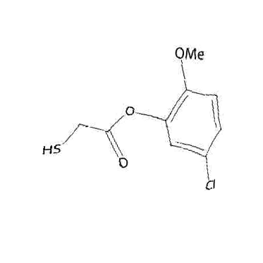 COc1ccc(Cl)cc1OC(=O)CS